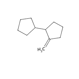 C=C1CCCC1C1CCCC1